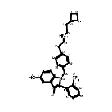 Oc1ccc2c(c1)c(F)c(-c1ccccc1C(F)(F)F)n2Cc1ccc(CCNCCC2CCC2)cc1